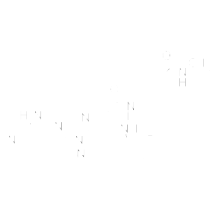 CNC(=O)[C@H]1CC[C@H](NC(=O)c2cnc(-n3ncc4cc(C#N)c(N)nc43)cc2N[C@@H]2CCCC[C@H]2F)CC1